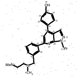 CNCCN(C)Cc1cccc(-c2cc(-c3ccc(O)cc3)c3cnn(C(C)C)c3n2)c1